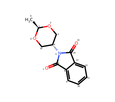 C[C@H]1OC[C@H](N2C(=O)c3ccccc3C2=O)CO1